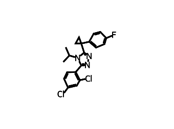 CC(C)n1c(-c2ccc(Cl)cc2Cl)nnc1C1(c2ccc(F)cc2)CC1